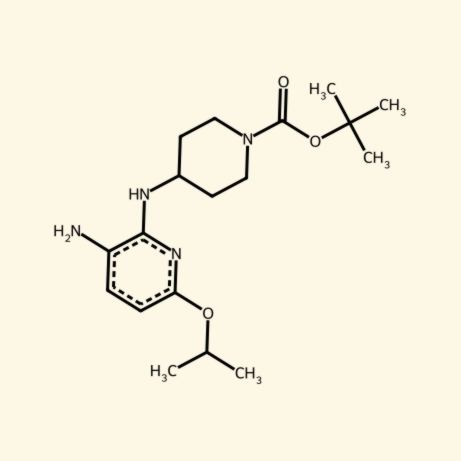 CC(C)Oc1ccc(N)c(NC2CCN(C(=O)OC(C)(C)C)CC2)n1